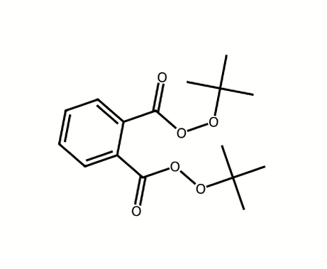 CC(C)(C)OOC(=O)c1ccccc1C(=O)OOC(C)(C)C